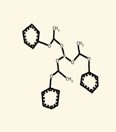 CC(Oc1ccccc1)OP(OC(C)Oc1ccccc1)OC(C)Oc1ccccc1